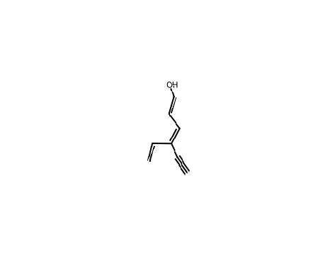 C#C/C(C=C)=C/C=C/O